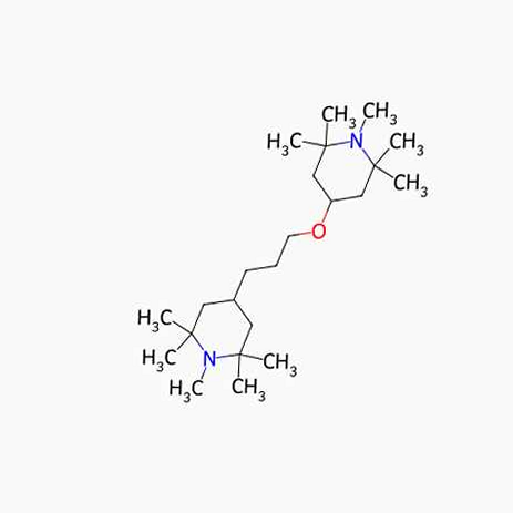 CN1C(C)(C)CC(CCCOC2CC(C)(C)N(C)C(C)(C)C2)CC1(C)C